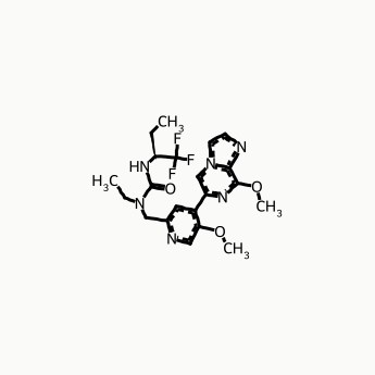 CC[C@H](NC(=O)N(CC)Cc1cc(-c2cn3ccnc3c(OC)n2)c(OC)cn1)C(F)(F)F